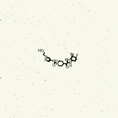 N=C(Nc1ccc(F)c(Br)c1)C(=O)C1CCN(C(=O)Nc2cnn(CCO)c2)CC1